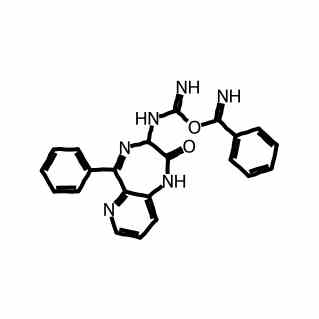 N=C(NC1N=C(c2ccccc2)c2ncccc2NC1=O)OC(=N)c1ccccc1